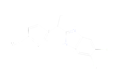 COc1ccc(C(C)c2nc3cc(F)c(F)cc3[nH]2)cc1